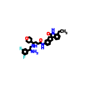 CCc1cccc2c1NC(=O)C21Cc2ccc(NC(=O)CCC(NCC(N)c3cc(F)cc(F)c3)C3CCOCC3)cc2C1